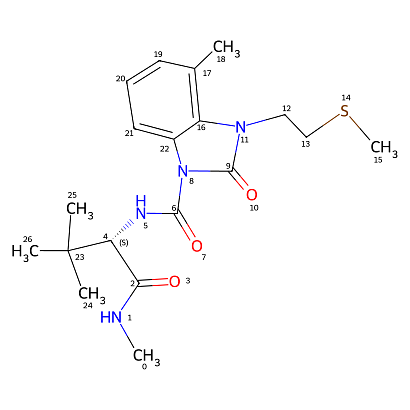 CNC(=O)[C@@H](NC(=O)n1c(=O)n(CCSC)c2c(C)cccc21)C(C)(C)C